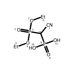 CCOP(=O)(OCC)C(C#N)P(=O)(O)O